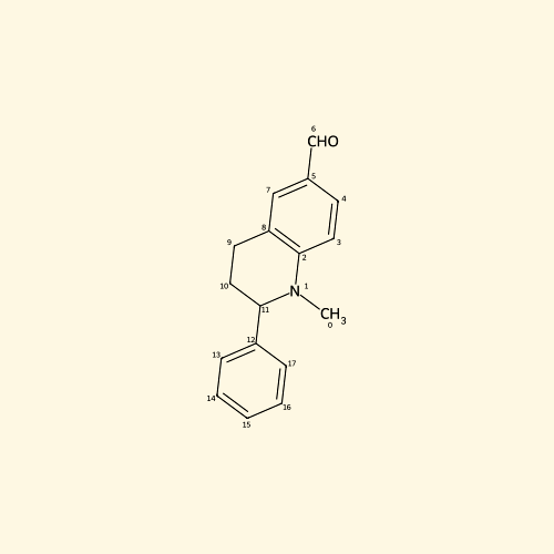 CN1c2ccc(C=O)cc2CCC1c1ccccc1